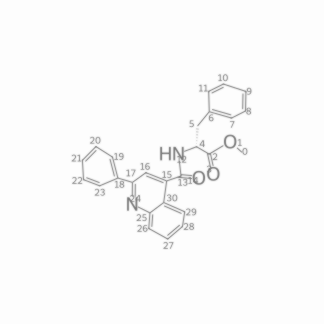 COC(=O)[C@@H](Cc1ccccc1)NC(=O)c1cc(-c2ccccc2)nc2ccccc12